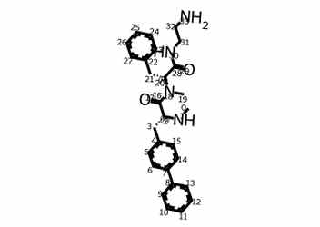 CN[C@H](Cc1ccc(-c2ccccc2)cc1)C(=O)N(C)[C@H](Cc1ccccc1)C(=O)NCCN